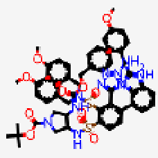 COc1ccc(CN(Cc2ccc(OC)cc2)S(=O)(=O)c2c(S(=O)(=O)NC3CN(C(=O)OC(C)(C)C)CC3NC(=O)OCc3ccccc3)ccc(-c3cccc4[nH]c(N)nc34)c2-c2nnn(Cc3ccc(OC)cc3)n2)cc1